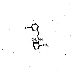 CC(=O)c1cccc(CCNc2c(C)cccc2C)n1